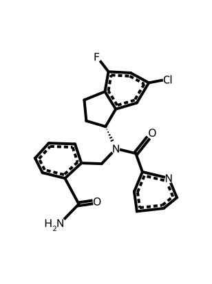 NC(=O)c1ccccc1CN(C(=O)c1ccccn1)[C@@H]1CCc2c(F)cc(Cl)cc21